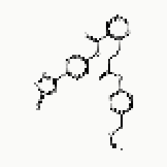 O=C(COc1ccccc1C(=O)Oc1ccc(-c2cc(=S)ss2)cc1)Oc1ccc(CO[N+](=O)[O-])cc1